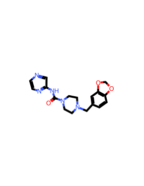 O=C(Nc1cnccn1)N1CCN(Cc2ccc3c(c2)OCO3)CC1